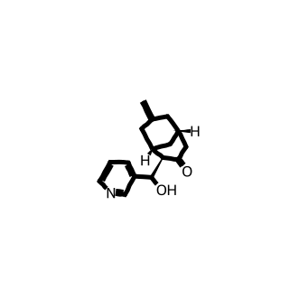 C=C1C[C@@H]2CC(=O)[C@@H](C(O)c3cccnc3)[C@H](C1)C2